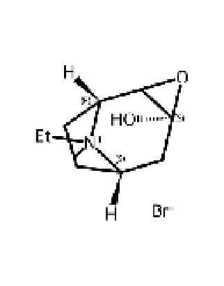 CC[N+]1(C)[C@H]2CC[C@@H]1C1O[C@@]1(O)C2.[Br-]